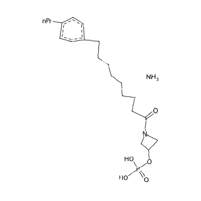 CCCc1ccc(CCCCCCCCC(=O)N2CC(OP(=O)(O)O)C2)cc1.N